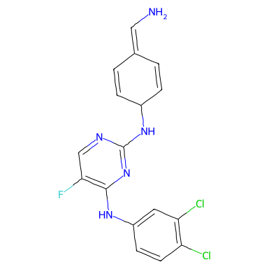 NC=C1C=CC(Nc2ncc(F)c(Nc3ccc(Cl)c(Cl)c3)n2)C=C1